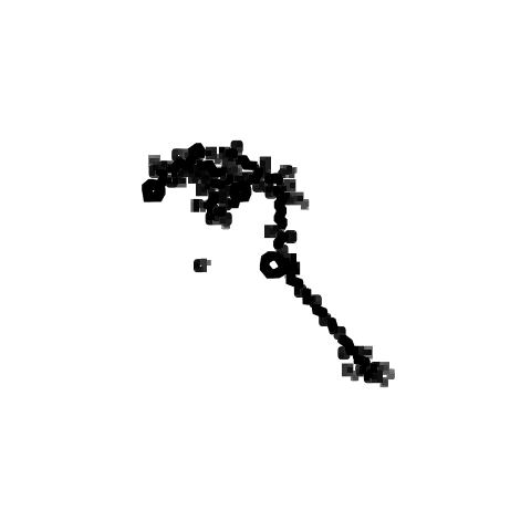 CC[C@H](C)[C@@H]([C@@H](CC(=O)N1CCC[C@H]1[C@H](OC)[C@@H](C)C(=O)N[C@H](C)[C@@H](O)c1ccccc1)OC)N(C)C(=O)[C@@H](NC(=O)[C@H](C(C)C)N(C)C(=O)OCc1ccc(NC(=O)[C@H](CCCNC(N)=O)NC(=O)[C@@H](NC(=O)[C@H](N)CCCCNC(=O)COC2CCCCCc3c2nnn3CCOCCOCCOCCOCCC(=O)NCC[N+](C)(C)C)C(C)C)cc1)C(C)C.[Cl-]